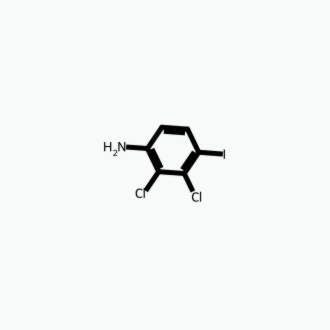 Nc1ccc(I)c(Cl)c1Cl